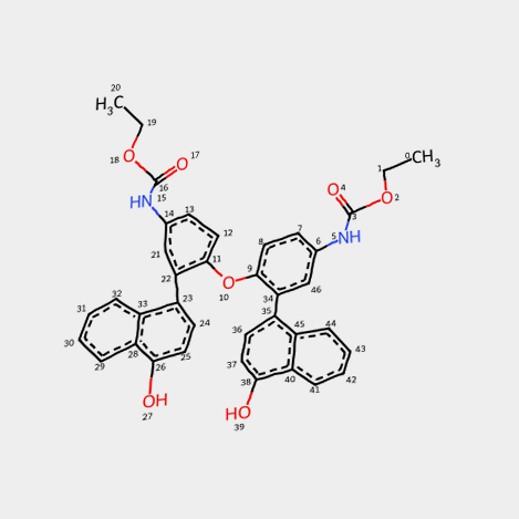 CCOC(=O)Nc1ccc(Oc2ccc(NC(=O)OCC)cc2-c2ccc(O)c3ccccc23)c(-c2ccc(O)c3ccccc23)c1